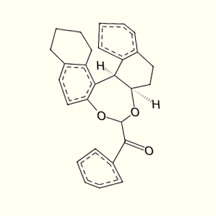 O=C(c1ccccc1)C1Oc2ccc3c(c2[C@H]2c4ccccc4CC[C@H]2O1)CCCC3